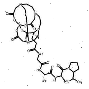 CC(C)[C@H](NC(=O)CNC(=O)CC[C@H]1C(=O)O[N+]23OC(=O)CN4CCN(CCN1CCN(CC4)CC(=O)O2)CC(=O)O3)C(=O)N[C@H](C)C(=O)N1CCC[C@H]1B(O)O